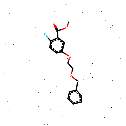 COC(=O)c1cc(OCCOCc2ccccc2)ccc1F